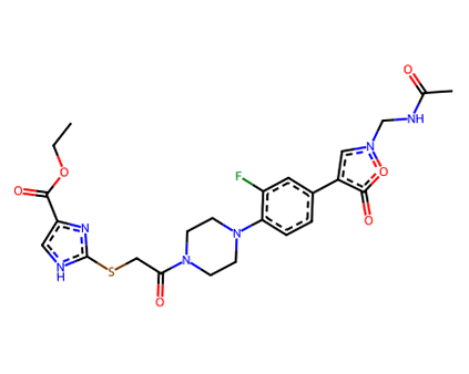 CCOC(=O)c1c[nH]c(SCC(=O)N2CCN(c3ccc(-c4cn(CNC(C)=O)oc4=O)cc3F)CC2)n1